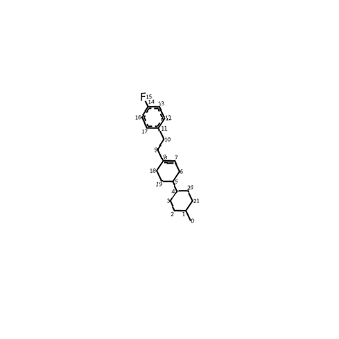 CC1CCC(C2CC=C(CCc3ccc(F)cc3)CC2)CC1